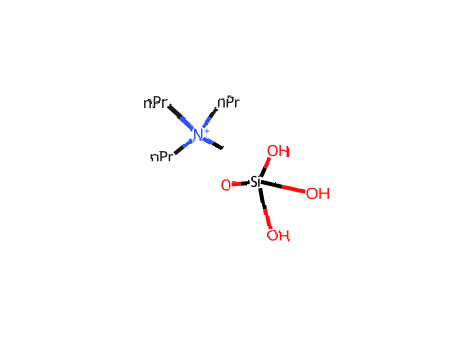 CCC[N+](C)(CCC)CCC.[O-][Si](O)(O)O